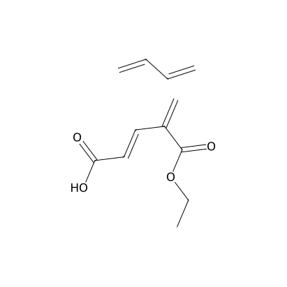 C=C(C=CC(=O)O)C(=O)OCC.C=CC=C